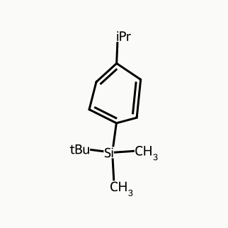 CC(C)c1ccc([Si](C)(C)C(C)(C)C)cc1